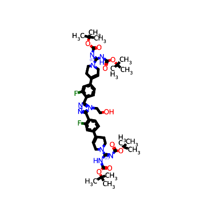 CC(C)(C)OC(=O)/N=C(/NC(=O)OC(C)(C)C)N1CC=C(c2ccc(-c3nnc(-c4ccc(C5=CCN(/C(=N/C(=O)OC(C)(C)C)NC(=O)OC(C)(C)C)CC5)cc4F)n3CCO)c(F)c2)CC1